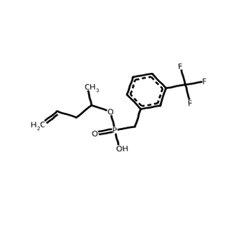 C=CCC(C)OP(=O)(O)Cc1cccc(C(F)(F)F)c1